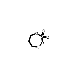 O=S1(=O)OCCCOO1